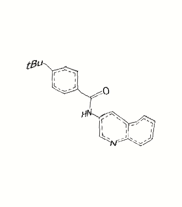 CC(C)(C)c1ccc(C(=O)Nc2cnc3ccccc3c2)cc1